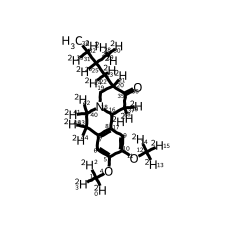 [2H]C([2H])([2H])Oc1cc2c(cc1OC([2H])([2H])[2H])C1([2H])N(CC([2H])(C([2H])([2H])C([2H])(C([2H])([2H])[2H])C([2H])([2H])C)C(=O)C1([2H])[2H])C([2H])([2H])C2([2H])[2H]